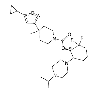 CC(C)N1CCN(C2CCCC(F)(F)[C@@H]2OC(=O)N2CCC(C)(c3cc(C4CC4)on3)CC2)CC1